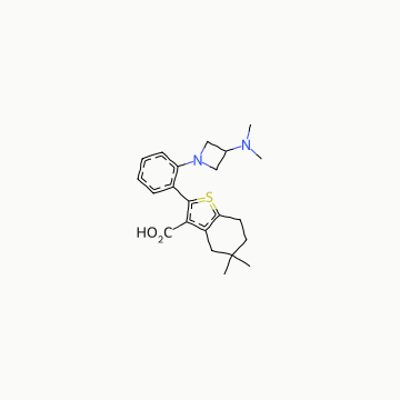 CN(C)C1CN(c2ccccc2-c2sc3c(c2C(=O)O)CC(C)(C)CC3)C1